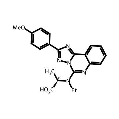 CCN(c1nc2ccccc2c2nc(-c3ccc(OC)cc3)nn12)[C@H](C)C(=O)O